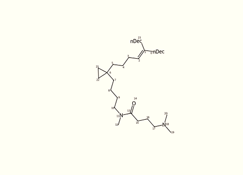 CCCCCCCCCCC(=CCCCC1(CCCCN(C)C(=O)CCCN(C)C)CC1)CCCCCCCCCC